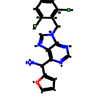 NC(c1ccco1)c1ncnc2c1ncn2Cc1c(Cl)cccc1Cl